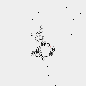 COCOc1cc(Cl)c(C(C)C)c(-c2ncc3c4nc(nc3c2F)OC[C@]23CCCN2C[C@@H](C3)OCCC(=O)N(C)CC23CCC(CN4C2)N3C(=O)OC(C)(C)C)c1